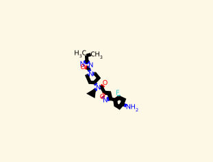 CC(C)c1noc(N2CCC(N(C(=O)c3cc(-c4ccc(N)cc4F)no3)C3CC3)CC2)n1